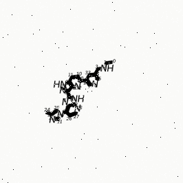 CCNCc1cncc(-c2ccc3[nH]nc(-c4nc5c(-n6cnc(C)c6)ccnc5[nH]4)c3n2)c1